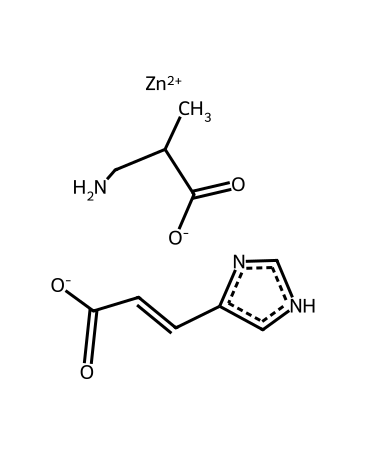 CC(CN)C(=O)[O-].O=C([O-])C=Cc1c[nH]cn1.[Zn+2]